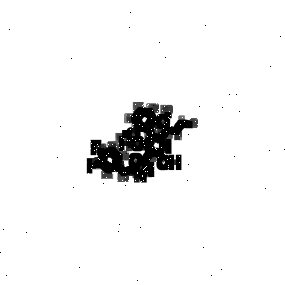 CCCCc1nc(O)c(-c2nnc(Cc3ccc(F)c(F)c3)o2)c(O)c1-c1c(OC)cccc1OC